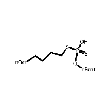 CCCCCCCCCCCCSP(O)(=S)OCCCCC